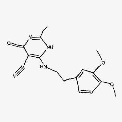 COc1ccc(CCNc2[nH]c(C)nc(=O)c2C#N)cc1OC